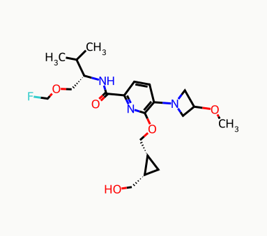 COC1CN(c2ccc(C(=O)N[C@H](COCF)C(C)C)nc2OC[C@@H]2C[C@@H]2CO)C1